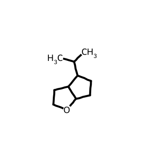 CC(C)C1CCC2OCCC21